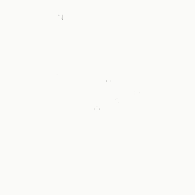 Cc1ccc(S(=O)(=O)OC2CC(C)(CC#N)C2)cc1